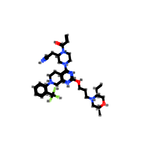 C=CC(=O)N1CCN(c2nc(OCCCN3C[C@@H](C)OC[C@H]3CC)nc3c2CCN(c2ccccc2C(F)(F)F)C3)CC1CC#N